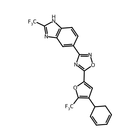 FC(F)(F)c1nc2cc(-c3noc(-c4cc(C5C=CC=CC5)c(C(F)(F)F)o4)n3)ccc2[nH]1